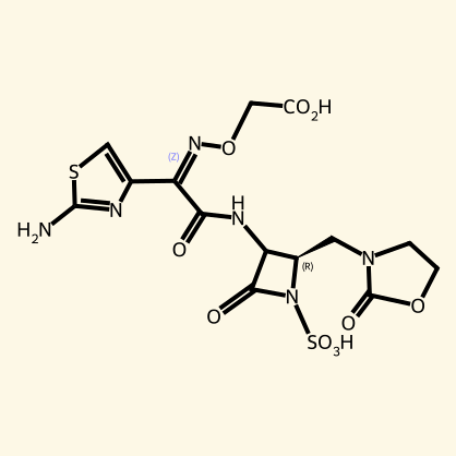 Nc1nc(/C(=N/OCC(=O)O)C(=O)NC2C(=O)N(S(=O)(=O)O)[C@@H]2CN2CCOC2=O)cs1